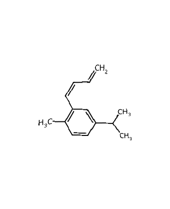 C=C/C=C\c1cc(C(C)C)ccc1C